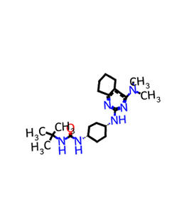 CN(C)c1nc(N[C@H]2CC[C@@H](NC(=O)NC(C)(C)C)CC2)nc2c1CCCC2